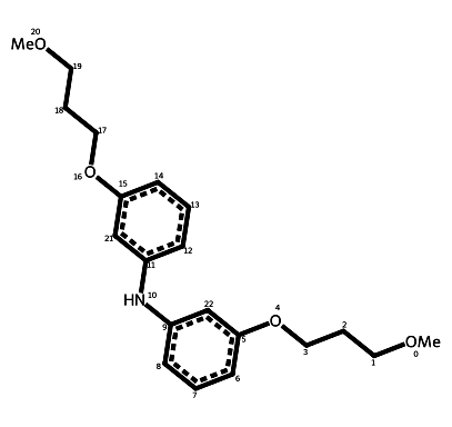 COCCCOc1cccc(Nc2cccc(OCCCOC)c2)c1